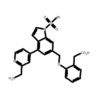 CC(C)S(=O)(=O)n1ccc2c(-c3ccnc(CN)c3)cc(COc3ccccc3CC(=O)O)cc21